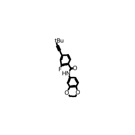 CC(C)(C)C#Cc1ccc(C(=O)Nc2ccc3c(c2)OCCO3)c(F)c1